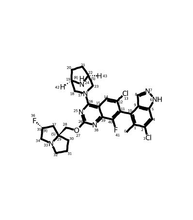 Cc1c(Cl)cc2[nH]ncc2c1-c1c(Cl)cc2c(N3C[C@H]4CC[C@@H](C3)N4)nc(OC[C@@]34CCCN3C[C@H](F)C4)nc2c1F